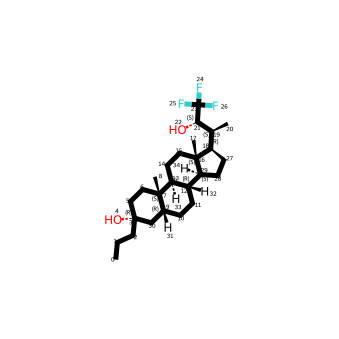 CCC[C@@]1(O)CC[C@@]2(C)[C@H](CC[C@@H]3[C@@H]2CC[C@]2(C)[C@@H]([C@H](C)[C@H](O)C(F)(F)F)CC[C@@H]32)C1